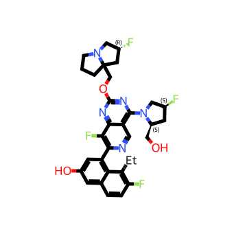 CCc1c(F)ccc2cc(O)cc(-c3ncc4c(N5C[C@@H](F)C[C@H]5CO)nc(OCC56CCCN5C[C@H](F)C6)nc4c3F)c12